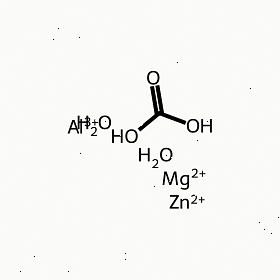 O.O.O=C(O)O.[Al+3].[Mg+2].[Zn+2]